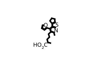 Cc1nc2sc3c(c2c(-c2ccco2)c1CCCC(C)C(=O)O)CCC3